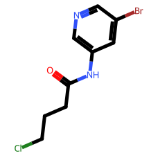 O=C(CCCCl)Nc1cncc(Br)c1